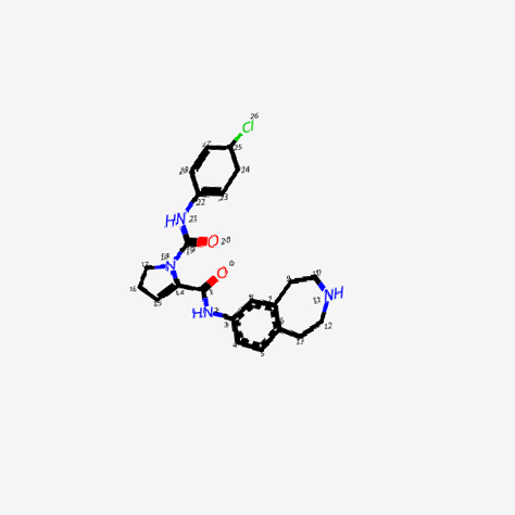 O=C(Nc1ccc2c(c1)CCNCC2)C1=CCCN1C(=O)NC1=CCC(Cl)C=C1